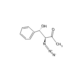 CC(=O)[C@@H](N=[N+]=[N-])[C@@H](O)c1ccccc1